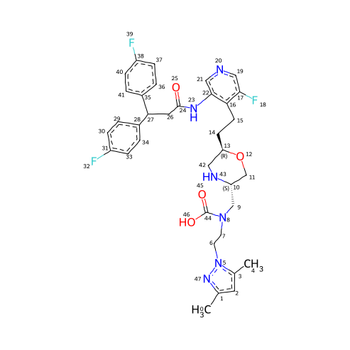 Cc1cc(C)n(CCN(C[C@H]2CO[C@H](CCc3c(F)cncc3NC(=O)CC(c3ccc(F)cc3)c3ccc(F)cc3)CN2)C(=O)O)n1